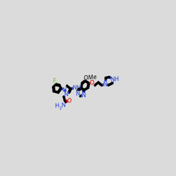 COc1cc2c(NC3=CN(CC(N)=O)N(c4cccc(F)c4)C3)ncnc2cc1OCCCN1CCNCC1